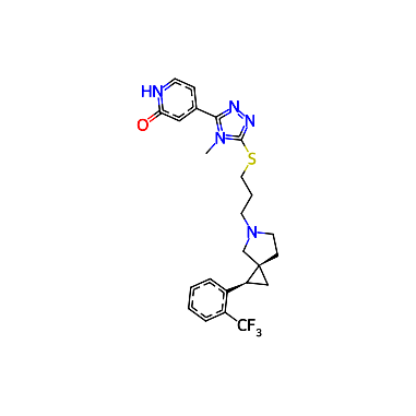 Cn1c(SCCCN2CC[C@]3(C[C@H]3c3ccccc3C(F)(F)F)C2)nnc1-c1cc[nH]c(=O)c1